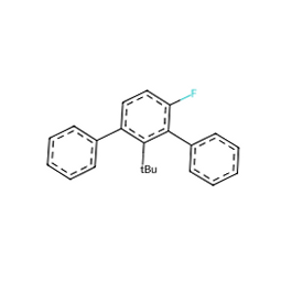 CC(C)(C)c1c(-c2ccccc2)ccc(F)c1-c1ccccc1